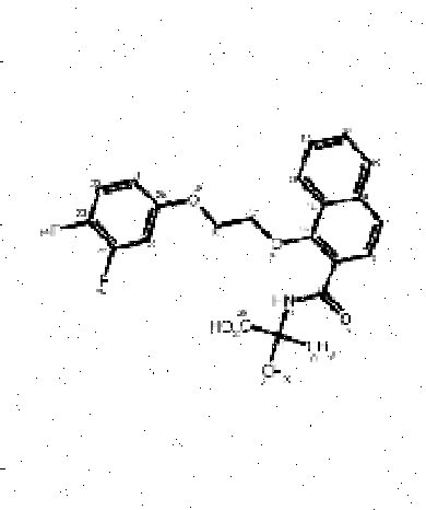 CC(C)(NC(=O)c1ccc2ccccc2c1OCCOc1ccc(F)c(F)c1)C(=O)O